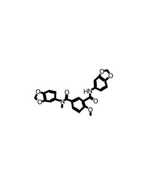 COc1ccc(C(=O)N(C)c2ccc3c(c2)OCO3)cc1C(=O)Nc1ccc2c(c1)OCO2